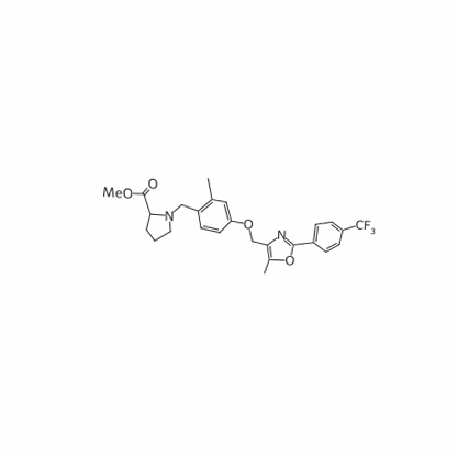 COC(=O)C1CCCN1Cc1ccc(OCc2nc(-c3ccc(C(F)(F)F)cc3)oc2C)cc1C